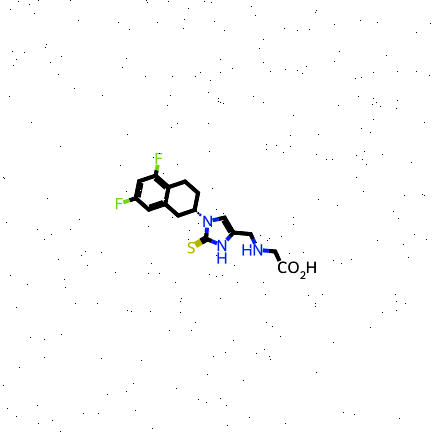 O=C(O)CNCc1cn([C@H]2CCc3c(F)cc(F)cc3C2)c(=S)[nH]1